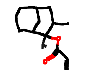 C=CC(=O)OC1(C(C)C)C(C)CC2CCCC1C2